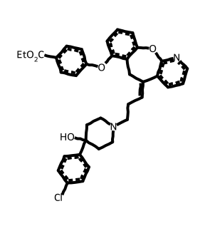 CCOC(=O)c1ccc(Oc2cccc3c2CC(=CCCN2CCC(O)(c4ccc(Cl)cc4)CC2)c2cccnc2O3)cc1